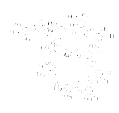 O=C(Oc1cc(OC(=O)c2cc(O)c(O)c(OC(=O)c3cc(O)c(O)c(OC(=O)c4cc(O)c(O)c(OC(=O)c5cc(O)c(O)c(OC(=O)c6cc(O)c(O)c(O)c6)c5)c4)c3)c2)cc(OC(=O)c2cc(O)c(O)c(OC(=O)c3cc(O)c(O)c(OC(=O)c4cc(O)c(O)c(OC(=O)c5cc(O)c(O)c(OC(=O)c6cc(O)c(O)c(O)c6)c5)c4)c3)c2)c1)c1ccccc1